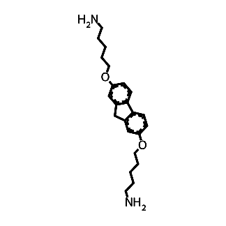 NCCCCCOc1ccc2c(c1)Cc1cc(OCCCCCN)ccc1-2